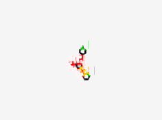 O=C(O)[C@@H]1C[C@@H](S(=O)(=O)c2ccccc2Cl)C[C@H]1OCc1ccc(Cl)cc1